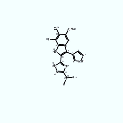 COc1cc2c(-c3cn[nH]c3)c(-c3nc([C@H](C)F)n[nH]3)[nH]c2c(F)c1Cl